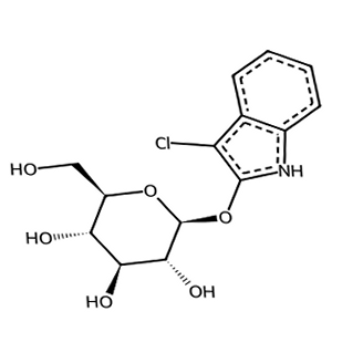 OC[C@H]1O[C@@H](Oc2[nH]c3ccccc3c2Cl)[C@H](O)[C@@H](O)[C@@H]1O